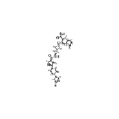 Cc1c(C(=O)NC2CC3(C2)CC(Oc2nc4c(cnn4C)cc2C(N)=O)C3)cnn1-c1ccc(-c2cnn(C)c2)cc1